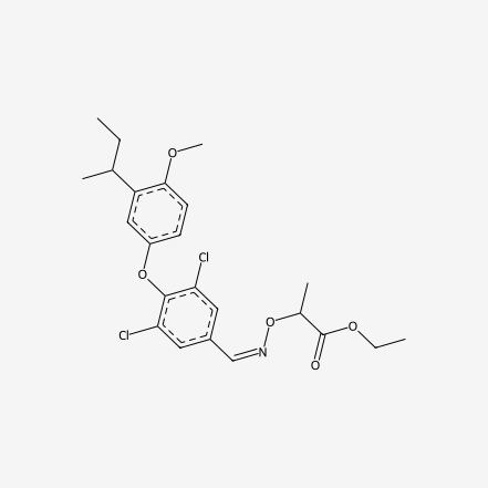 CCOC(=O)C(C)O/N=C\c1cc(Cl)c(Oc2ccc(OC)c(C(C)CC)c2)c(Cl)c1